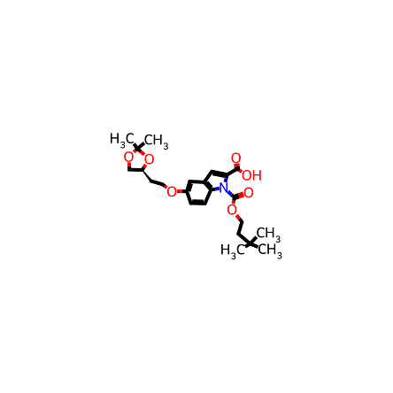 CC(C)(C)CCOC(=O)n1c(C(=O)O)cc2cc(OCC[C@H]3COC(C)(C)O3)ccc21